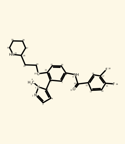 Cn1nccc1-c1cc(NC(=O)c2ccc(F)c(F)c2)ccc1OCCC1CCCCN1